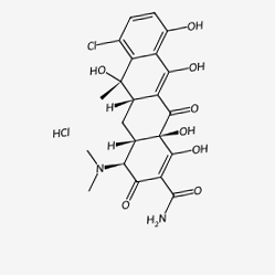 CN(C)[C@@H]1C(=O)C(C(N)=O)=C(O)[C@@]2(O)C(=O)C3=C(O)c4c(O)ccc(Cl)c4[C@@](C)(O)[C@H]3C[C@@H]12.Cl